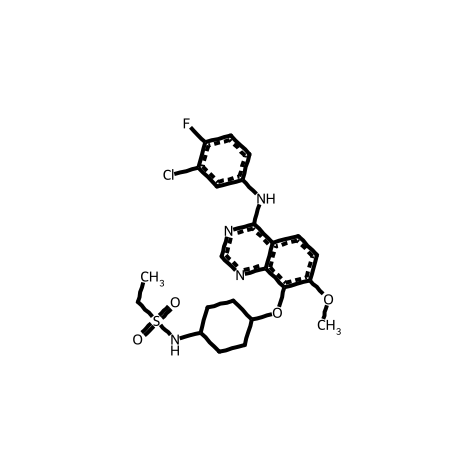 CCS(=O)(=O)NC1CCC(Oc2c(OC)ccc3c(Nc4ccc(F)c(Cl)c4)ncnc23)CC1